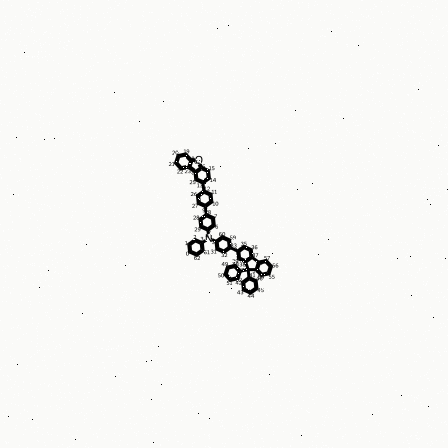 c1ccc(N(c2ccc(-c3ccc(-c4ccc5oc6ccccc6c5c4)cc3)cc2)c2ccc(-c3ccc4c(c3)C(c3ccccc3)(c3ccccc3)c3ccccc3-4)cc2)cc1